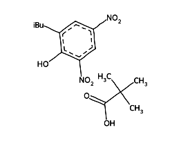 CC(C)(C)C(=O)O.CCC(C)c1cc([N+](=O)[O-])cc([N+](=O)[O-])c1O